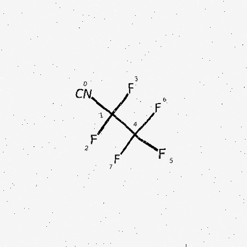 [C-]#[N+]C(F)(F)C(F)(F)F